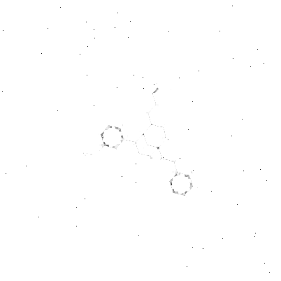 C=CCCC1CNC2(CCc3ccccc3)CCC(c3cccc(OC)c3)C1C2